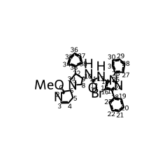 COC1=NC=CCC1N1C[C@@H](NC(=O)Nc2c(Br)c(-c3ccccc3)nn2-c2ccccc2)[C@H](c2ccccc2)C1